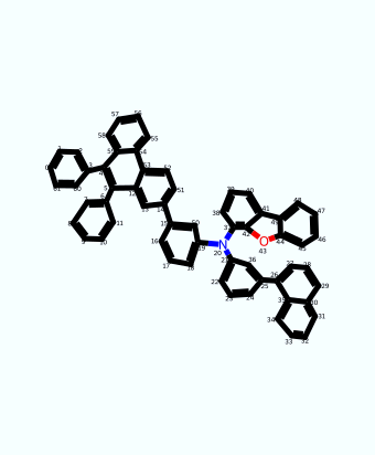 c1ccc(-c2c(-c3ccccc3)c3cc(-c4cccc(N(c5cccc(-c6cccc7ccccc67)c5)c5cccc6c5oc5ccccc56)c4)ccc3c3ccccc23)cc1